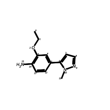 CCOc1cc(-c2ccnn2C)ccc1N